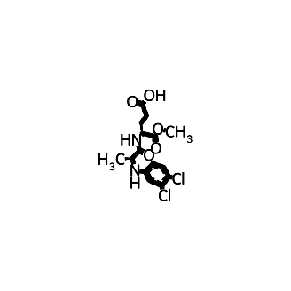 COC(=O)[C@H](CCC(=O)O)NC(=O)[C@H](C)Nc1ccc(Cl)c(Cl)c1